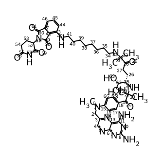 CN(Cc1cnc2nc(N)nc(N)c2n1)c1ccc(C(=O)C(C)(C)N[C@@H](CCC(=O)C(C)(C)NCCCCCCCCNc2cccc3c2C(=O)N(C2CCC(=O)NC2=O)C3=O)C(O)O)cc1